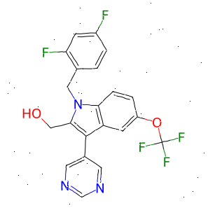 OCc1c(-c2cncnc2)c2cc(OC(F)(F)F)ccc2n1Cc1ccc(F)cc1F